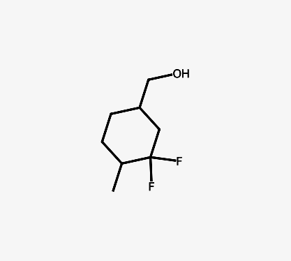 CC1CCC(CO)CC1(F)F